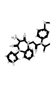 COc1ccc(N(C(=O)CN2C(=O)C(N)C(=O)N(c3cccnc3)c3ccccc32)C(C)C)cc1